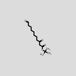 CC(C)(C)OC(=O)CC(=O)CCCCCCC[C]=O